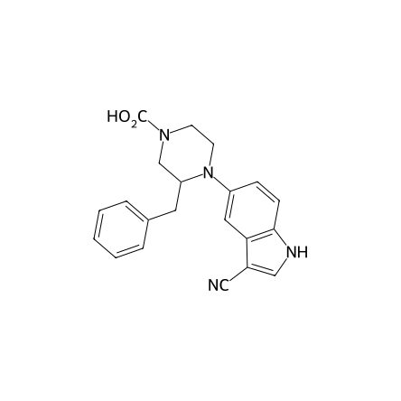 N#Cc1c[nH]c2ccc(N3CCN(C(=O)O)CC3Cc3ccccc3)cc12